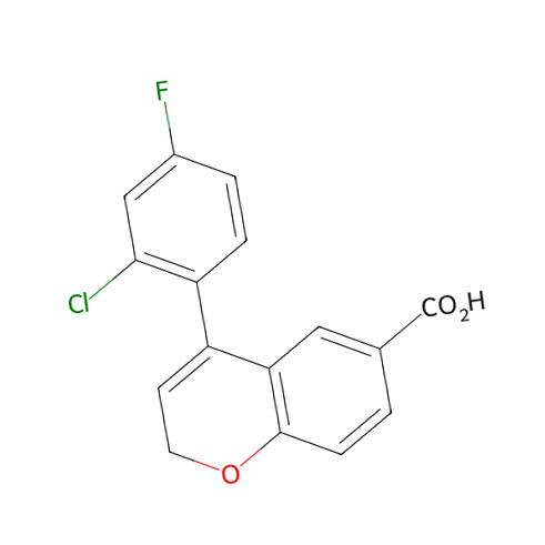 O=C(O)c1ccc2c(c1)C(c1ccc(F)cc1Cl)=CCO2